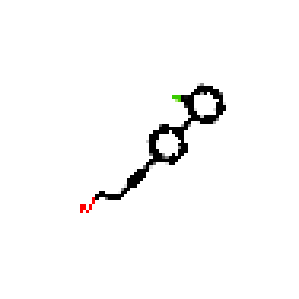 OCCC#Cc1ccc(-c2ccccc2F)cc1